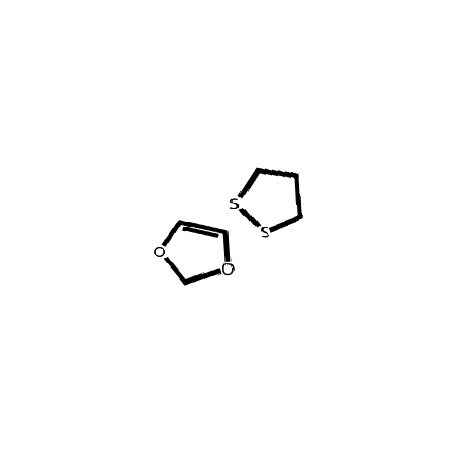 C1=COCO1.C1CSSC1